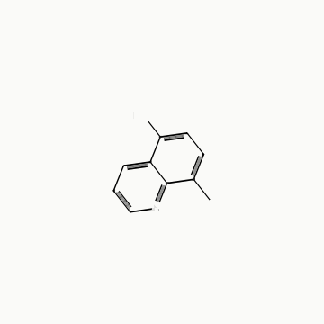 Cc1ccc(S)c2cccnc12